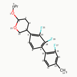 CCCOC1CCC(c2ccc(-c3ccc(C)cc3F)c(F)c2F)CO1